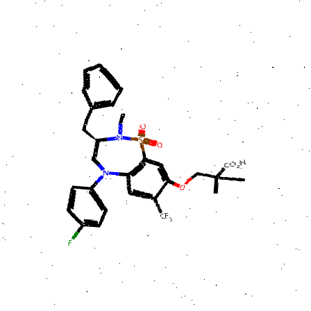 CN1[C@H](Cc2ccccc2)CN(c2ccc(F)cc2)c2cc(C(F)(F)F)c(OCC(C)(C)C(=O)O)cc2S1(=O)=O